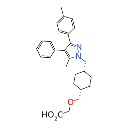 Cc1ccc(-c2nn(C[C@H]3CC[C@@H](COCC(=O)O)CC3)c(C)c2-c2ccccc2)cc1